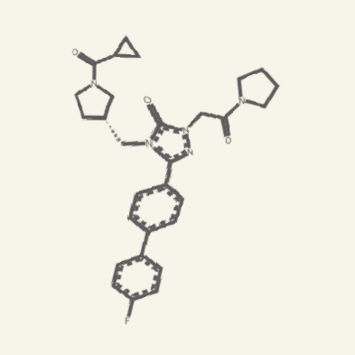 O=C(Cn1nc(-c2ccc(-c3ccc(F)cc3)cc2)n(C[C@@H]2CCN(C(=O)C3CC3)C2)c1=O)N1CCCC1